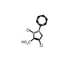 O=C(O)C1=C(Cl)CN(c2ccccc2)N1Cl